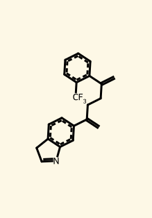 C=C(CCC(=C)c1ccccc1C(F)(F)F)c1ccc2c(c1)N=CC2